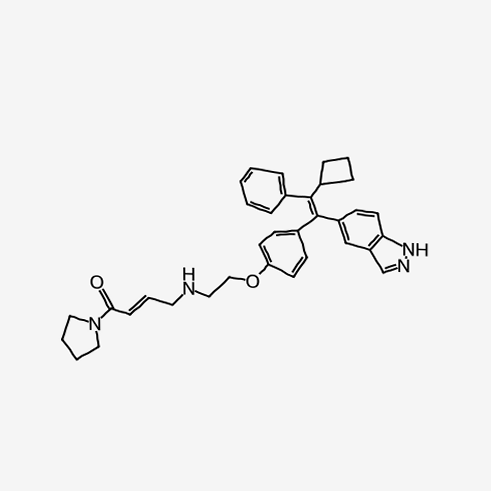 O=C(/C=C/CNCCOc1ccc(/C(=C(\c2ccccc2)C2CCC2)c2ccc3[nH]ncc3c2)cc1)N1CCCC1